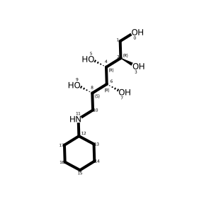 OC[C@@H](O)[C@@H](O)[C@H](O)[C@@H](O)CNC1CCCCC1